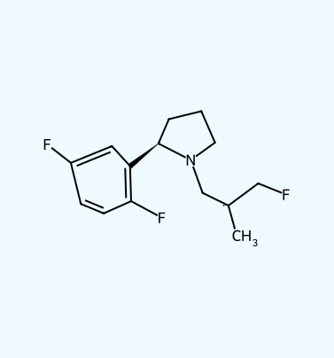 C[C](CF)CN1CCC[C@@H]1c1cc(F)ccc1F